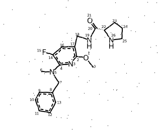 COc1nc(N(C)Cc2ccccc2)c(F)cc1CNC(=O)[C@@H]1CCCN1